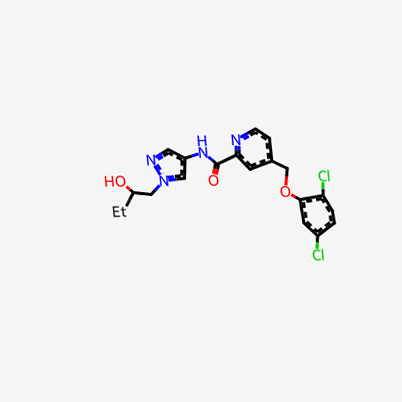 CCC(O)Cn1cc(NC(=O)c2cc(COc3cc(Cl)ccc3Cl)ccn2)cn1